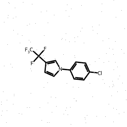 FC(F)(F)C(F)(F)c1ccn(-c2ccc(Cl)cc2)c1